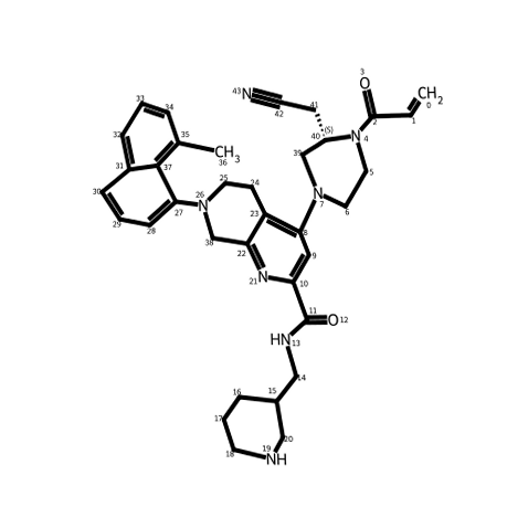 C=CC(=O)N1CCN(c2cc(C(=O)NCC3CCCNC3)nc3c2CCN(c2cccc4cccc(C)c24)C3)C[C@@H]1CC#N